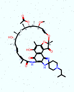 CO[C@H]1/C=C/O[C@@]2(C)Oc3c(C)c(O)c4c(c3C2=O)C2=NC3(CCN(CC(C)C)CC3)NC2=C(NC(=O)/C(C)=C\C=C\[C@H](C)[C@H](O)[C@@H](C)C[C@@H](C)[C@H](OC(C)=O)[C@@H]1C)C4=O